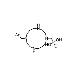 CC(=O)CN1CCCNCCN(CP(=O)(O)O)CCCNCC1